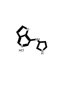 Cl.c1cc2cncc(NC3CCNC3)c2o1